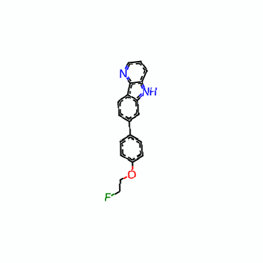 FCCOc1ccc(-c2ccc3c(c2)[nH]c2cccnc23)cc1